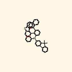 CC1(C)c2ccccc2-c2ccc(N(c3ccccc3)c3cccc(-c4cccc5ccccc45)c3-c3cccc4sc5ccccc5c34)cc21